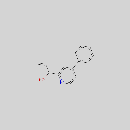 C=CC(O)c1cc(-c2ccccc2)ccn1